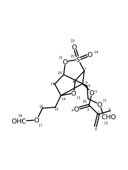 C=C(C)C(=O)OC1C2C3(CCOC=O)OC1(CCOC=O)CC3OS2(=O)=O